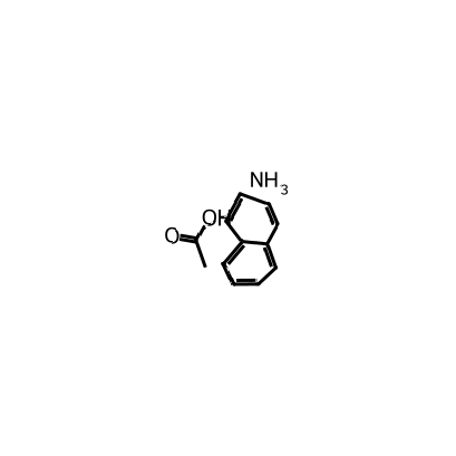 CC(=O)O.N.c1ccc2ccccc2c1